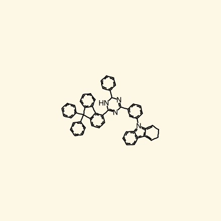 C1=c2c(n(-c3cccc(C4=NC(c5ccccc5)NC(c5cccc6c5-c5ccccc5C6(c5ccccc5)c5ccccc5)=N4)c3)c3ccccc23)=CCC1